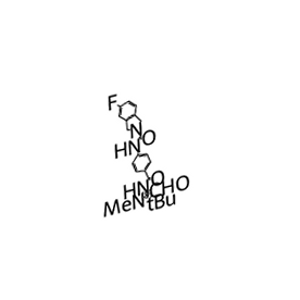 CN[C@](C=O)(NC(=O)c1ccc(NC(=O)N2Cc3ccc(F)cc3C2)cc1)C(C)(C)C